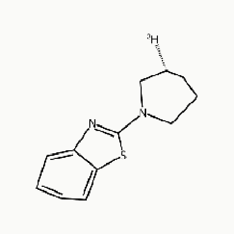 [2H][C@@H]1CCCN(c2nc3ccccc3s2)C1